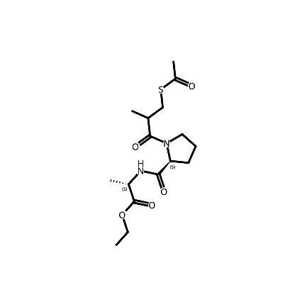 CCOC(=O)[C@H](C)NC(=O)[C@@H]1CCCN1C(=O)C(C)CSC(C)=O